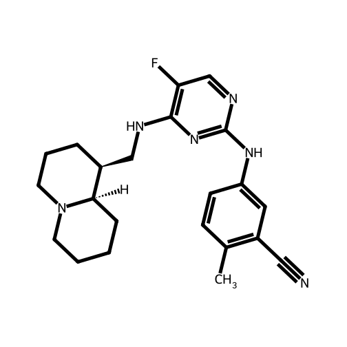 Cc1ccc(Nc2ncc(F)c(NC[C@@H]3CCCN4CCCC[C@H]34)n2)cc1C#N